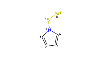 SSn1cccc1